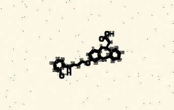 O=C(O)C[C@@H]1Cc2ccc(OCCCNc3cccc[n+]3[O-])cc2Cc2ccccc21